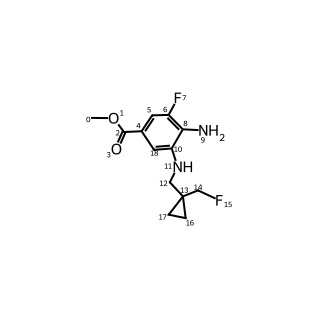 COC(=O)c1cc(F)c(N)c(NCC2(CF)CC2)c1